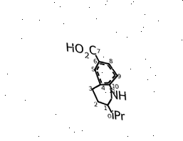 CC(C)C1CCc2cc(C(=O)O)ccc2N1